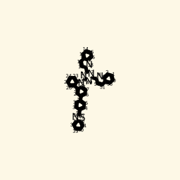 c1ccc2nc(-c3nc(-c4ccc5ccccc5n4)nc(-n4c5ccccc5c5cc(-c6ccc(-c7nc8ccccc8s7)cc6)ccc54)n3)ccc2c1